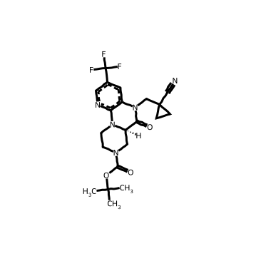 CC(C)(C)OC(=O)N1CCN2c3ncc(C(F)(F)F)cc3N(CC3(C#N)CC3)C(=O)[C@H]2C1